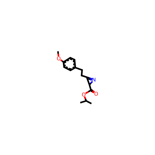 COc1ccc(CCC2=NC2C(=O)OC(C)C)cc1